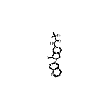 CCC(C)(C)C(=O)Nc1ccc2c(c1)C(=O)N(c1ccc3ncccc3c1)C2